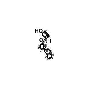 O=C(NC1C2CC3CC1CC(O)(C3)C2)c1cccc(N2CCc3ccccc3C2)n1